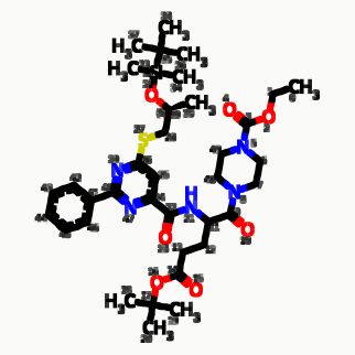 CCOC(=O)N1CCN(C(=O)C(CCC(=O)OC(C)(C)C)NC(=O)c2cc(SC[C@H](C)O[Si](C)(C)C(C)(C)C)nc(-c3ccccc3)n2)CC1